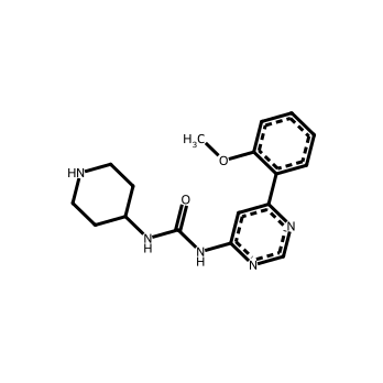 COc1ccccc1-c1cc(NC(=O)NC2CCNCC2)ncn1